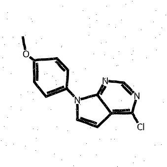 COc1ccc(-n2ccc3c(Cl)ncnc32)cc1